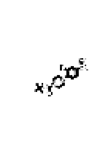 C[S@@+]([O-])c1ccc(N2CCN(C(=O)OC(C)(C)C)CC2)c(F)c1